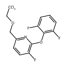 Fc1ccc(COCC(Cl)(Cl)Cl)nc1Oc1c(F)cccc1F